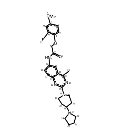 COc1ccc(OCC(=O)Nc2ccc3nc(N4CCC(N5CCCC5)CC4)nc(C)c3c2)c(F)c1